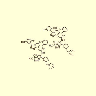 CSC(C)(C)c1cc(NC(=O)NCc2ccccc2Sc2ccc3nnc(-c4cc(F)ccc4O)n3c2)n(-c2cccc(CN(C)C)c2)n1.CSC(C)(C)c1cc(NC(=O)NCc2ccccc2Sc2ccc3nnc(-c4cc(O)ccc4F)n3c2)n(-c2cccc(CN3CCOCC3)c2)n1